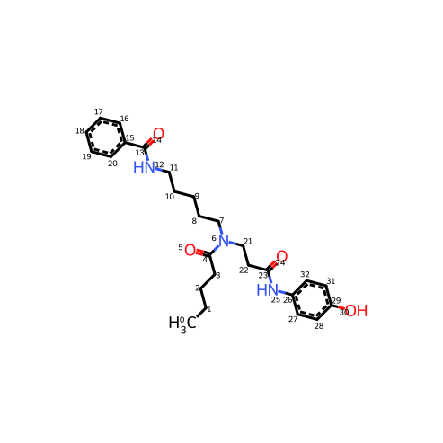 CCCCC(=O)N(CCCCCNC(=O)c1ccccc1)CCC(=O)Nc1ccc(O)cc1